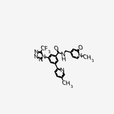 Cc1ccc(-c2cc(C(=O)NCc3ccn(C)c(=O)c3)cc(-n3nnnc3C(F)(F)F)c2)nc1